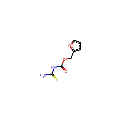 NC(=S)NC(=O)OCc1ccco1